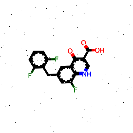 O=C(O)c1c[nH]c2c(F)cc(Cc3c(F)cccc3F)cc2c1=O